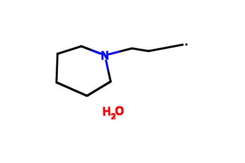 O.[CH2]CCN1CCCCC1